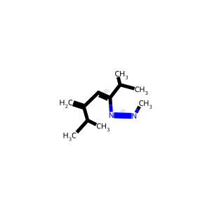 C=C(/C=C(\N=N/C)C(C)C)C(C)C